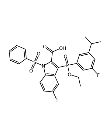 CCOP(=O)(c1cc(F)cc(C(C)C)c1)c1c(C(=O)O)n(S(=O)(=O)c2ccccc2)c2ccc(I)cc12